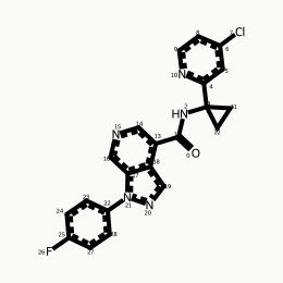 O=C(NC1(c2cc(Cl)ccn2)CC1)c1cncc2c1cnn2-c1ccc(F)cc1